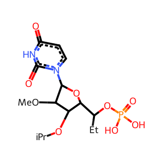 CCC(OP(=O)(O)O)C1OC(n2ccc(=O)[nH]c2=O)C(OC)C1OC(C)C